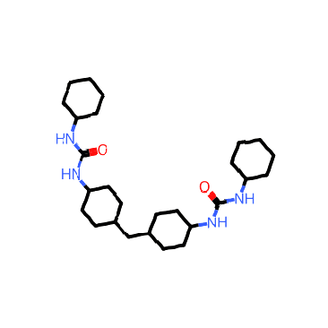 O=C(NC1CCCCC1)NC1CCC(CC2CCC(NC(=O)NC3CCCCC3)CC2)CC1